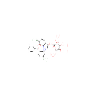 O=C(c1ccccc1)c1ccc(Cl)cc1-n1cc(O[C@H]2O[C@H](CO)[C@H](O)[C@H](O)[C@H]2O)c2ccc(Cl)cc21